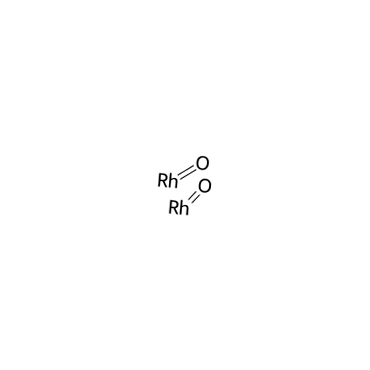 [O]=[Rh].[O]=[Rh]